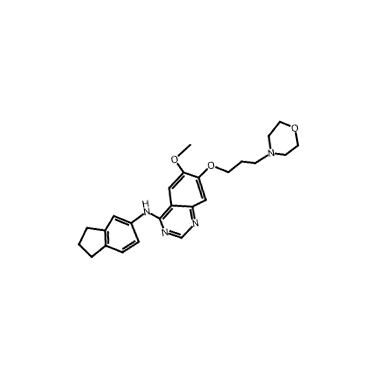 COc1cc2c(Nc3ccc4c(c3)CCC4)ncnc2cc1OCCCN1CCOCC1